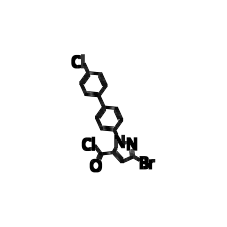 O=C(Cl)c1cc(Br)nn1-c1ccc(-c2ccc(Cl)cc2)cc1